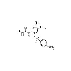 CCNC(=O)Nc1cc(C)c(C)cc1NS(=O)(=O)c1ccc(C)cc1